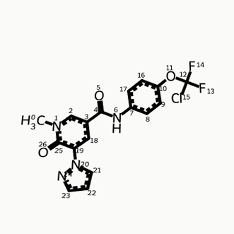 Cn1cc(C(=O)Nc2ccc(OC(F)(F)Cl)cc2)cc(-n2cccn2)c1=O